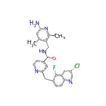 Cc1cc(N)nc(C)c1CNC(=O)c1ccnc(Cc2ccc3ncc(Cl)cc3c2F)c1